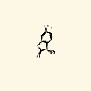 Cc1ccc2c(c1)sc(=O)n2C(C)C